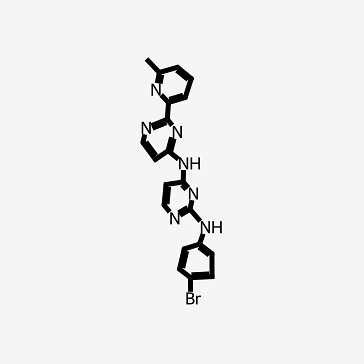 Cc1cccc(-c2nccc(Nc3ccnc(Nc4ccc(Br)cc4)n3)n2)n1